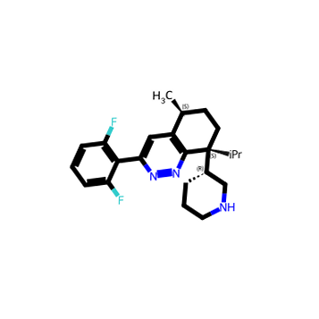 CC(C)[C@]1([C@H]2CCCNC2)CC[C@H](C)c2cc(-c3c(F)cccc3F)nnc21